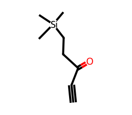 C#CC(=O)CC[Si](C)(C)C